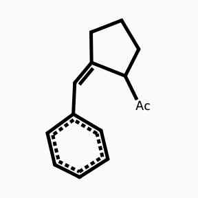 CC(=O)C1CCCC1=Cc1ccccc1